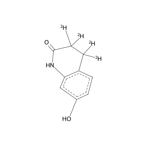 [2H]C1([2H])C(=O)Nc2cc(O)ccc2C1([2H])[2H]